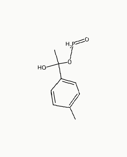 Cc1ccc(C(C)(O)O[PH2]=O)cc1